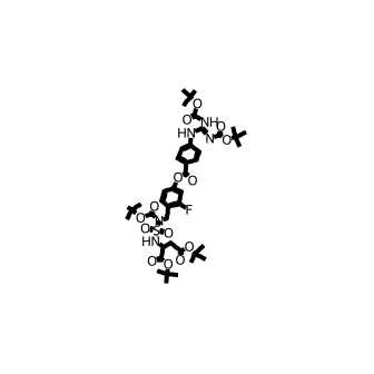 CC(C)(C)OC(=O)CC(NS(=O)(=O)N(Cc1ccc(OC(=O)c2ccc(NC(=NC(=O)OC(C)(C)C)NC(=O)OC(C)(C)C)cc2)cc1F)C(=O)OC(C)(C)C)C(=O)OC(C)(C)C